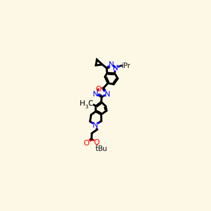 Cc1c(-c2noc(-c3ccc4c(c3)c(C3CC3)nn4C(C)C)n2)ccc2c1CCN(CCC(=O)OC(C)(C)C)C2